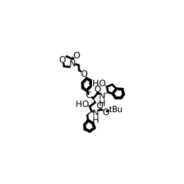 CC(C)(C)OC(=O)N[C@@H](Cc1ccccc1)[C@@H](O)C[C@@H](Cc1ccc(OCCN2CCOCC2=O)cc1)C(=O)N[C@H]1c2ccccc2C[C@H]1O